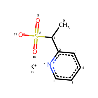 CC(c1ccccn1)S(=O)(=O)[O-].[K+]